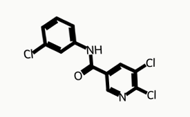 O=C(Nc1cccc(Cl)c1)c1cnc(Cl)c(Cl)c1